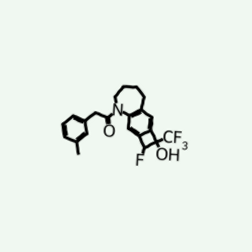 Cc1cccc(CC(=O)N2CCCCc3cc4c(cc32)C(F)C4(O)C(F)(F)F)c1